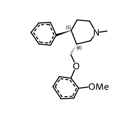 COc1ccccc1OC[C@H]1CN(C)CC[C@@H]1c1ccccc1